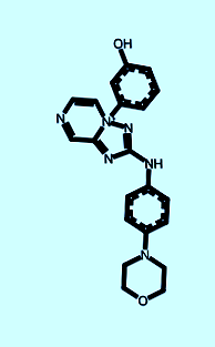 Oc1cccc([N+]23C=CN=CC2=NC(Nc2ccc(N4CCOCC4)cc2)=N3)c1